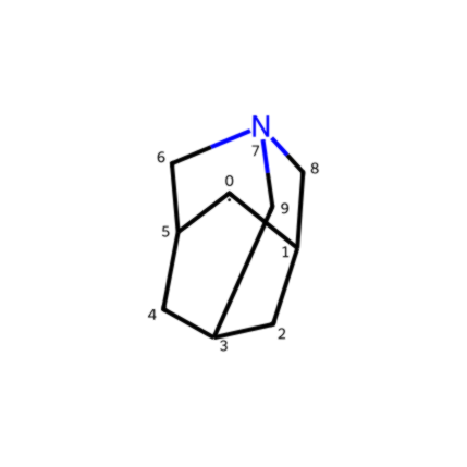 [CH]1C2CC3CC1CN(C2)C3